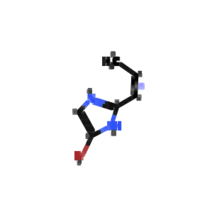 C/C=C\c1ncc(Br)[nH]1